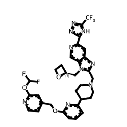 FC(F)Oc1cc(COc2cccc(C3CCN(Cc4nc5cc(-c6nnc(C(F)(F)F)[nH]6)ncc5n4C[C@@H]4CCO4)CC3)n2)ccn1